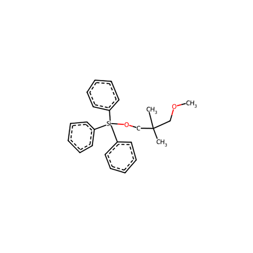 COCC(C)(C)CO[Si](c1ccccc1)(c1ccccc1)c1ccccc1